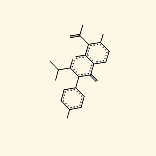 CC(=O)c1c(O)ccc2c(=O)c(-c3ccc(Cl)cc3)c(C(C)C)oc12